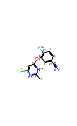 Cc1nc(Cl)cc(Oc2cc(C#N)ccc2F)n1